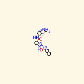 C=C/C=c1/cc(NC(=O)c2cccc3[nH]c(NC(=O)c4cc5ccccc5cn4)nc23)cc/c1=C/N